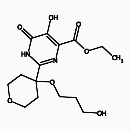 CCOC(=O)c1nc(C2(OCCCO)CCOCC2)[nH]c(=O)c1O